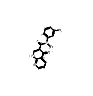 CC(C)N(C(=O)c1c[nH]c2ncccc2c1=O)c1cccc(Br)c1